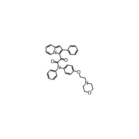 O=C(C(=O)N(c1ccccc1)c1ccc(OCCN2CCOCC2)cc1)c1c(-c2ccccc2)cc2ccccn12